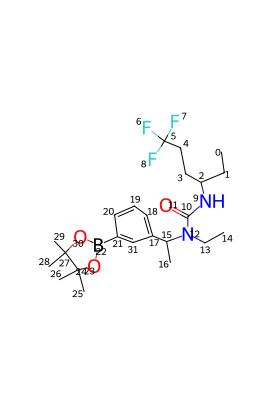 CCC(CCC(F)(F)F)NC(=O)N(CC)C(C)c1cccc(B2OC(C)(C)C(C)(C)O2)c1